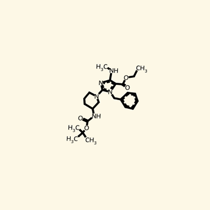 CCOC(=O)c1c(NC)nc(N2CCCC(NC(=O)OC(C)(C)C)C2)n1Cc1ccccc1